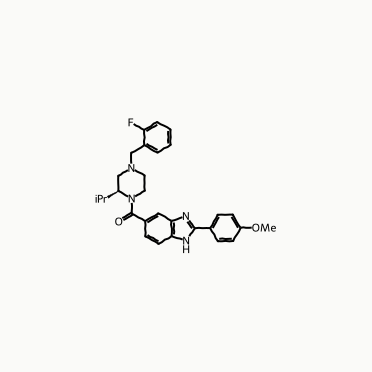 COc1ccc(-c2nc3cc(C(=O)N4CCN(Cc5ccccc5F)C[C@@H]4C(C)C)ccc3[nH]2)cc1